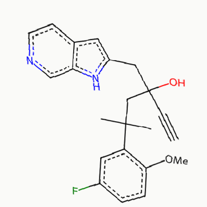 C#CC(O)(Cc1cc2ccncc2[nH]1)CC(C)(C)c1cc(F)ccc1OC